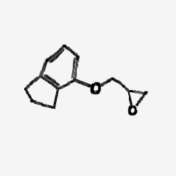 c1cc2c(c(OCC3CO3)c1)CCC2